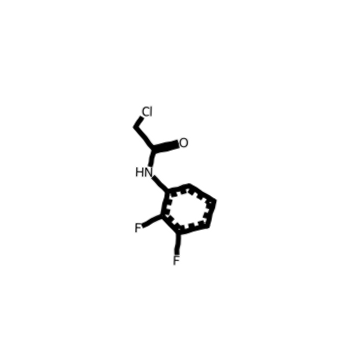 O=C(CCl)Nc1cccc(F)c1F